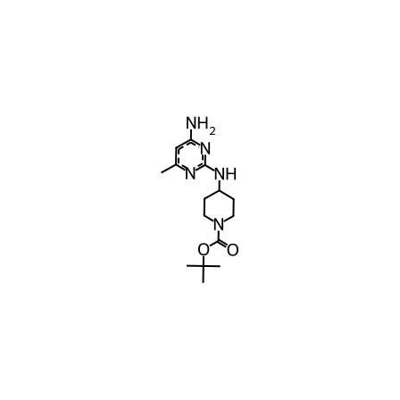 Cc1cc(N)nc(NC2CCN(C(=O)OC(C)(C)C)CC2)n1